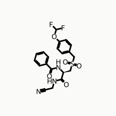 N#CCNC(=O)[C@H](CS(=O)(=O)Cc1ccc(OC(F)F)cc1)NC(=O)c1ccccc1